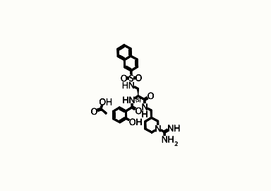 CC(=O)O.N=C(N)N1CCCC(CNC(=O)[C@H](CNS(=O)(=O)c2ccc3ccccc3c2)NC(=O)c2ccccc2O)C1